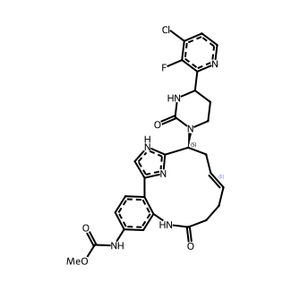 COC(=O)Nc1ccc2c(c1)NC(=O)CC/C=C/C[C@H](N1CCC(c3nccc(Cl)c3F)NC1=O)c1nc-2c[nH]1